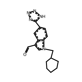 O=Cc1cn(CC2CCCCC2)c2ccc(-c3nnn[nH]3)cc12